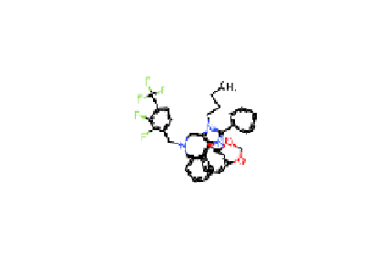 CCCCn1c(-c2ccccc2)nc(-c2ccccc2)c1CN(Cc1ccc2c(c1)OCO2)Cc1ccc(C(F)(F)F)c(F)c1F